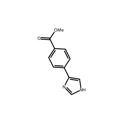 COC(=O)c1ccc(-c2c[nH]cn2)cc1